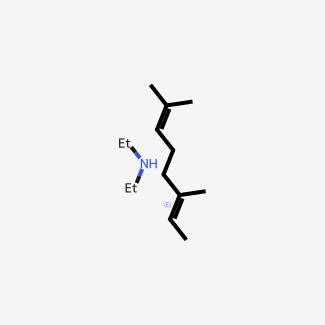 C/C=C(\C)CCC=C(C)C.CCNCC